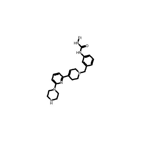 CCNC(=O)Nc1cccc(CN2CC=C(c3cccc(N4CCNCC4)n3)CC2)c1